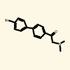 CN(C)CC(=O)c1ccc(-c2ccc(Br)cc2)cc1